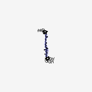 CC1=C(/C=C/C(C)=C/C=C/C(C)=C/C=C/C=C(C)/C=C/C=C(C)/C=C/C2=C(C)C(=O)[C@@H](O)C(O)C2(C)C)C(C)(C)C(C)(O)[C@H](O)C1